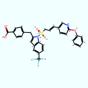 O=C(O)c1ccc(Cc2cc3cc(C(F)(F)F)ccc3n2S(=O)(=O)CC=Cc2ccc(Oc3ccccc3)nc2)cc1